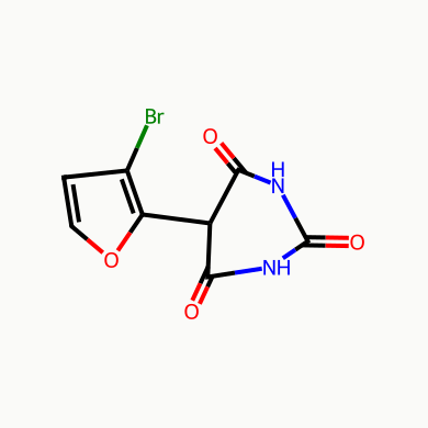 O=C1NC(=O)C(c2occc2Br)C(=O)N1